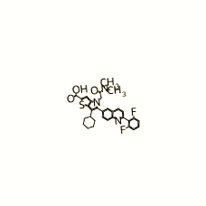 CN(C)C(=O)Cn1c(-c2ccc3nc(-c4c(F)cccc4F)ccc3c2)c(C2CCCCC2)c2sc(C(=O)O)cc21